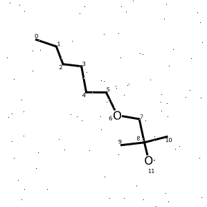 CCCCCCOCC(C)(C)[O]